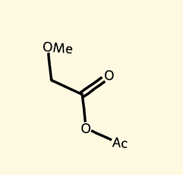 [CH2]C(=O)OC(=O)COC